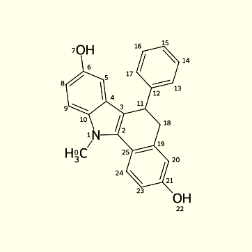 Cn1c2c(c3cc(O)ccc31)C(c1ccccc1)Cc1cc(O)ccc1-2